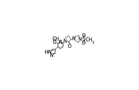 COc1nc(N2CCC(N3CCN(S(C)(=O)=O)CC3)C2=O)ccc1-c1cn[nH]c1